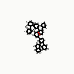 c1ccc(-c2ccccc2-c2ccccc2N(c2ccc(-c3ccc4c(c3)C3(CCc5ccccc53)c3ccccc3-4)cc2)c2cccc3oc4ccccc4c23)cc1